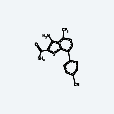 N#Cc1ccc(-c2ccc(C(F)(F)F)c3c(N)c(C(N)=O)sc23)cc1